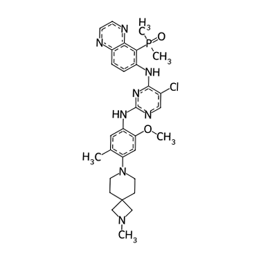 COc1cc(N2CCC3(CC2)CN(C)C3)c(C)cc1Nc1ncc(Cl)c(Nc2ccc3nccnc3c2P(C)(C)=O)n1